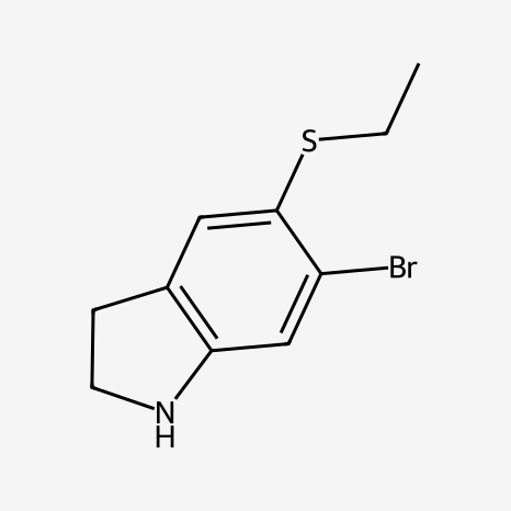 CCSc1cc2c(cc1Br)NCC2